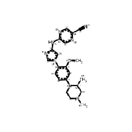 COc1cc(N2CCN(C)C[C@@H]2C)ccc1-n1cnc(Nc2cnc(C#N)cn2)c1